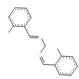 Oc1ccccc1/C=N\C/N=C/c1ccccc1O